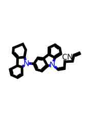 C=CCC(C#N)/C=C\n1c2ccccc2c2cc(N3C4CCCC=C4C4C=CC=CC43)ccc21